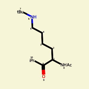 CC(=O)NC(CCCCNC(C)(C)C)C(=O)C(C)C